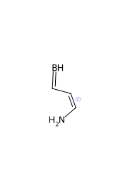 B=C/C=C\N